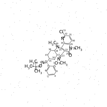 COc1ccccc1/C(=N\OC(C)(C)C)C1CCC(N(C)c2c(C#N)c(=O)n(C)c3ccc(Cl)nc23)CC1